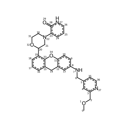 COCc1cc(CNc2ccc3c(c2)Cc2cccc(C4CN(c5ccc[nH]c5=O)CCO4)c2O3)ccn1